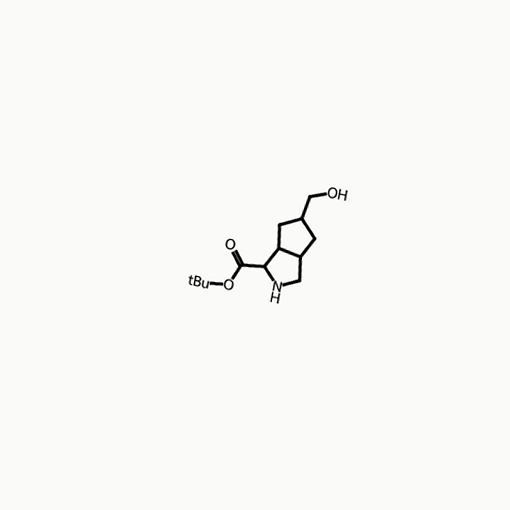 CC(C)(C)OC(=O)C1NCC2CC(CO)CC21